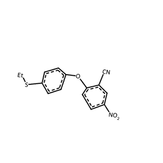 CCSc1ccc(Oc2ccc([N+](=O)[O-])cc2C#N)cc1